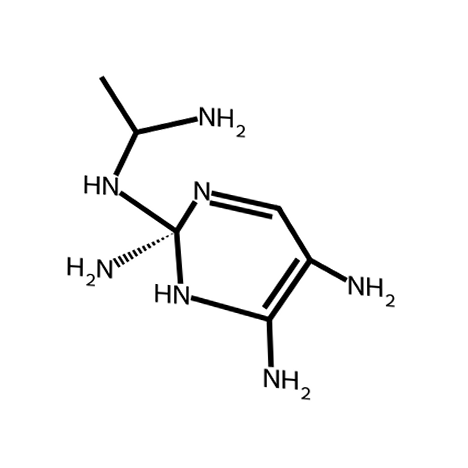 CC(N)N[C@@]1(N)N=CC(N)=C(N)N1